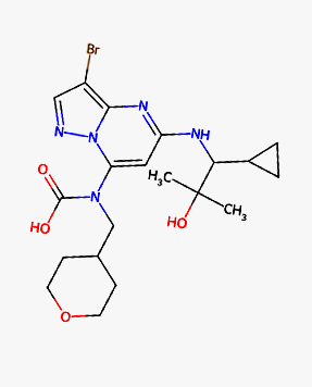 CC(C)(O)C(Nc1cc(N(CC2CCOCC2)C(=O)O)n2ncc(Br)c2n1)C1CC1